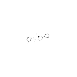 Cc1ccnc(NC(=O)c2ccc(-c3ccccc3)nc2C)c1